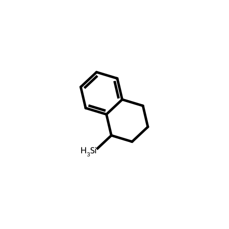 [SiH3]C1CCCc2ccccc21